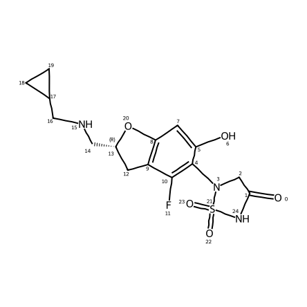 O=C1CN(c2c(O)cc3c(c2F)C[C@H](CNCC2CC2)O3)S(=O)(=O)N1